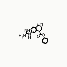 Cl.N=C(N)Nc1ccc2c(c1)C(C(=O)Oc1ccccc1)CCC2